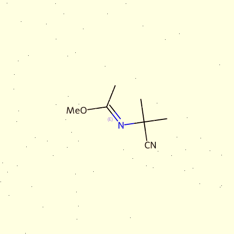 CO/C(C)=N/C(C)(C)C#N